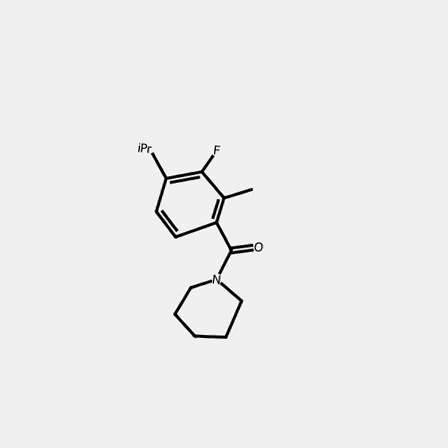 Cc1c(C(=O)N2CCCCC2)ccc(C(C)C)c1F